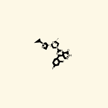 C[C@@H]1CN(c2nc(-c3ccc(F)cc3F)c3cn[nH]c(=O)c3n2)C[C@H](c2cnn(C3CC3)c2)O1